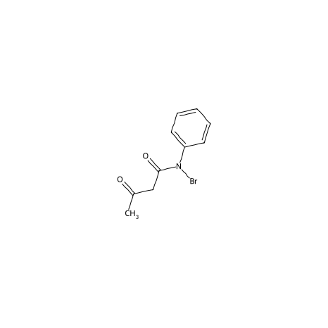 CC(=O)CC(=O)N(Br)c1ccccc1